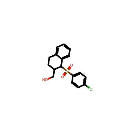 O=S(=O)(c1ccc(Cl)cc1)C1c2ccccc2CCC1CO